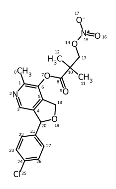 Cc1ncc2c(c1OC(=O)C(C)(C)CO[N+](=O)[O-])COC2c1ccc(Cl)cc1